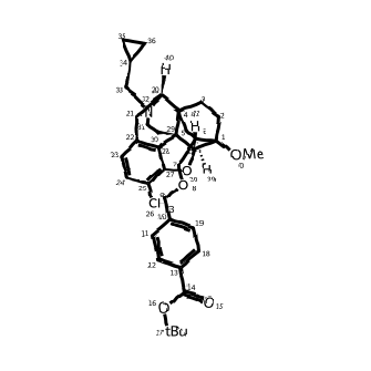 COC12CCC3(C[C@@H]1COCc1ccc(C(=O)OC(C)(C)C)cc1)[C@H]1Cc4ccc(C)c5c4[C@@]3(CCN1CC1CC1)[C@H]2O5